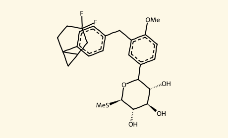 COc1ccc(C2O[C@H](SC)[C@@H](O)[C@H](O)[C@H]2O)cc1Cc1ccc(C23CCC(F)(F)CC2C3)cc1